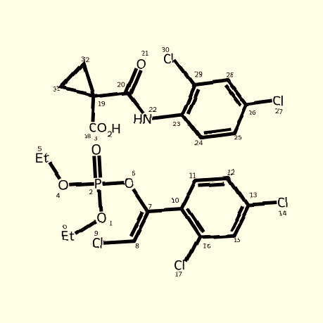 CCOP(=O)(OCC)O/C(=C\Cl)c1ccc(Cl)cc1Cl.O=C(O)C1(C(=O)Nc2ccc(Cl)cc2Cl)CC1